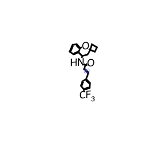 O=C(/C=C/c1ccc(C(F)(F)F)cc1)NC1CC2(CCC2)Oc2ccccc21